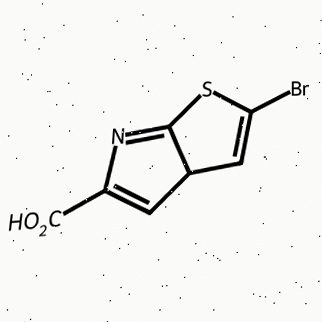 O=C(O)C1=CC2C=C(Br)SC2=N1